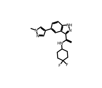 C=C(NC1CCC(F)(F)CC1)c1n[nH]c2ccc(-c3cnn(C)c3)cc12